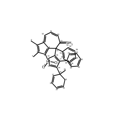 CC1=C(C)[C]([Hf]([Cl])[Cl])=C2C1=CC=CC(=[SiH2])C2(C1=C(c2ccccc2)C(C2(C)C=CC=CC2)=CC1)c1ccccc1